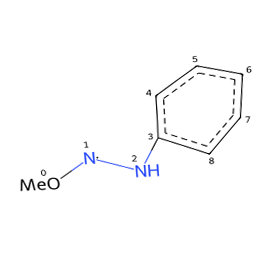 CO[N]Nc1ccccc1